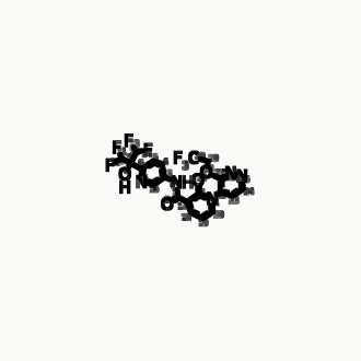 O=C(Nc1ccc(C(O)(C(F)F)C(F)F)nc1)c1cccn(-c2ccnnc2OCC(F)(F)F)c1=O